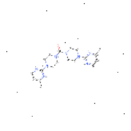 Cc1ccnc(N2CCN(C(=O)N3CCN(c4nccc(C)n4)CC3)CC2)n1